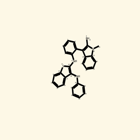 Bc1c(-c2ccccc2Nc2sc3ccccc3c2Nc2ccccc2)c2ccccc2n1C